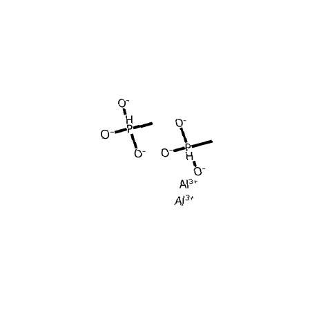 C[PH]([O-])([O-])[O-].C[PH]([O-])([O-])[O-].[Al+3].[Al+3]